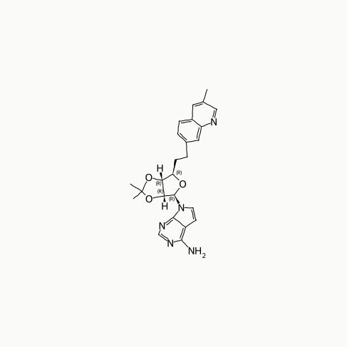 Cc1cnc2cc(CC[C@H]3O[C@@H](n4ccc5c(N)ncnc54)[C@@H]4OC(C)(C)O[C@@H]43)ccc2c1